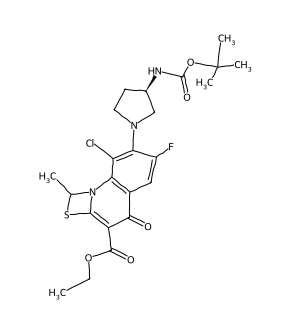 CCOC(=O)c1c2n(c3c(Cl)c(N4CC[C@@H](NC(=O)OC(C)(C)C)C4)c(F)cc3c1=O)C(C)S2